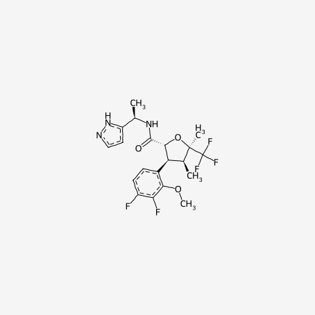 COc1c([C@H]2[C@H](C(=O)N[C@H](C)c3ccn[nH]3)O[C@@](C)(C(F)(F)F)[C@H]2C)ccc(F)c1F